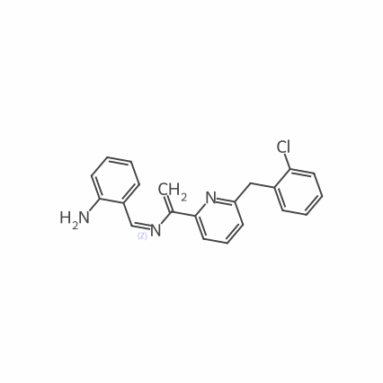 C=C(/N=C\c1ccccc1N)c1cccc(Cc2ccccc2Cl)n1